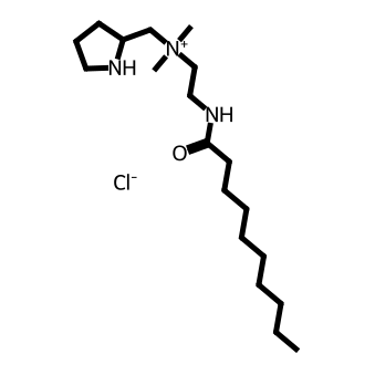 CCCCCCCCCC(=O)NCC[N+](C)(C)CC1CCCN1.[Cl-]